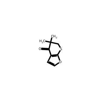 CC1(C)CSc2occc2C1=O